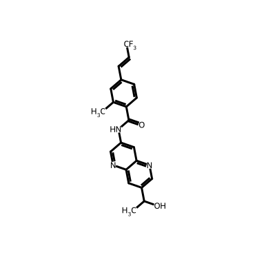 Cc1cc(C=CC(F)(F)F)ccc1C(=O)Nc1cnc2cc(C(C)O)cnc2c1